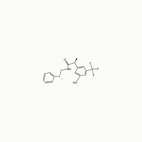 C[C@H](C(=O)NC[C@H](C)c1ccccc1)c1cc(O)cc(C(F)(F)F)c1